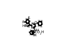 O=C(O)[C@@H]1C2CCC(CC2)C1Nc1cc(Oc2ccccc2)nc(-c2c[nH]c3c(F)cc(F)cc23)n1